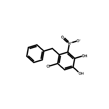 O=[N+]([O-])c1c(O)c(O)cc(Cl)c1Cc1ccccc1